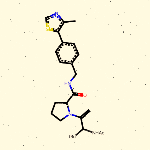 C=C(C(NC(C)=O)C(C)(C)C)N1CCCC1C(=O)NCc1ccc(-c2scnc2C)cc1